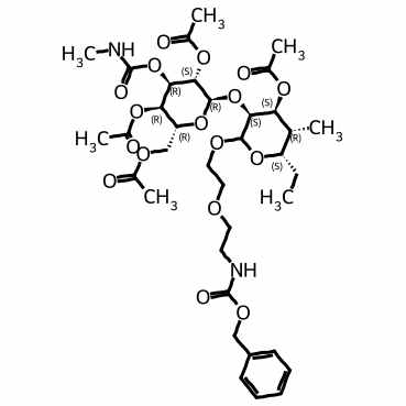 CC[C@@H]1OC(OCCOCCNC(=O)OCc2ccccc2)[C@@H](O[C@H]2O[C@H](COC(C)=O)[C@@H](OC(C)=O)[C@@H](OC(=O)NC)[C@@H]2OC(C)=O)[C@@H](OC(C)=O)[C@@H]1C